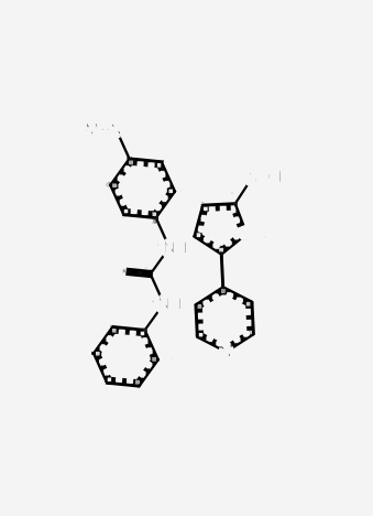 CNc1ccc(NC(=O)Nc2ccccc2)cc1.O=S(=O)(O)c1ccc(-c2ccncc2)s1